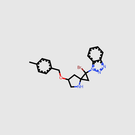 Cc1ccc(COC2CNC3(C2)CC3(Br)n2nnc3ccccc32)cc1